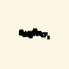 Cc1c(NC(=O)c2ccc(OCC3CCCO3)cc2)ccc2cc(CNCCC(F)(F)F)cnc12